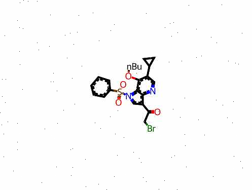 CCCCOc1c(C2CC2)cnc2c(C(=O)CBr)cn(S(=O)(=O)c3ccccc3)c12